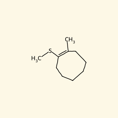 CS/C1=C(\C)CCCCCC1